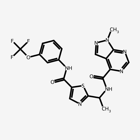 CC(NC(=O)c1ncnc2c1cnn2C)c1ncc(C(=O)Nc2cccc(OC(F)(F)F)c2)s1